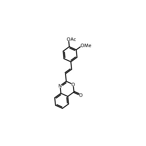 COc1cc(/C=C/c2nc3ccccc3c(=O)o2)ccc1OC(C)=O